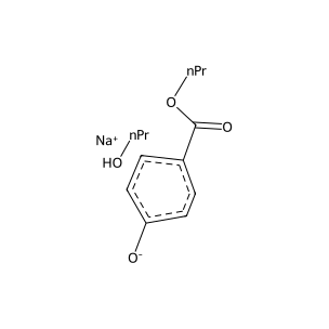 CCCO.CCCOC(=O)c1ccc([O-])cc1.[Na+]